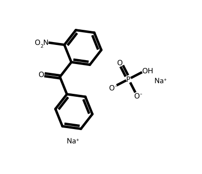 O=C(c1ccccc1)c1ccccc1[N+](=O)[O-].O=P([O-])([O-])O.[Na+].[Na+]